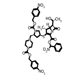 C[C@@H](O)[C@H]1C(=O)N2C(C(=O)OC(c3ccccc3)[N+](=O)[O-])=C(S[C@H]3C[C@@H](CN4CCN(C(=O)OCc5ccc([N+](=O)[O-])cc5)CC4)N(C(=O)OCc4ccc([N+](=O)[O-])cc4)C3)[C@H](C)[C@H]12